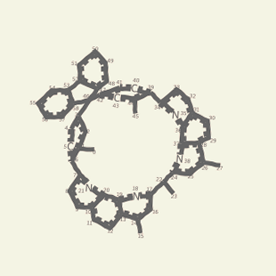 Cc1cc2ccc1-c1ccc3ccc4c(C)cc(nc4c3n1)C(C)c1cc(C)c3ccc4ccc(nc4c3n1)-c1ccc(cc1C)C21c2ccccc2-c2ccccc21